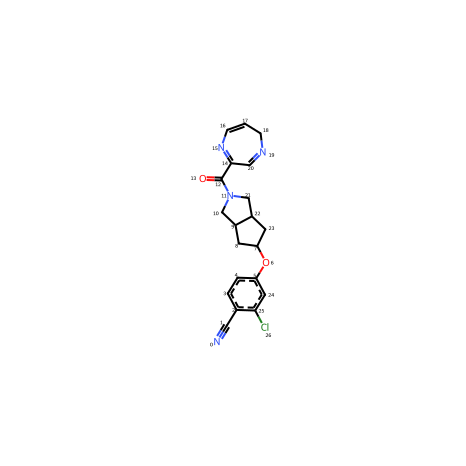 N#Cc1ccc(OC2CC3CN(C(=O)C4=NC=CCN=C4)CC3C2)cc1Cl